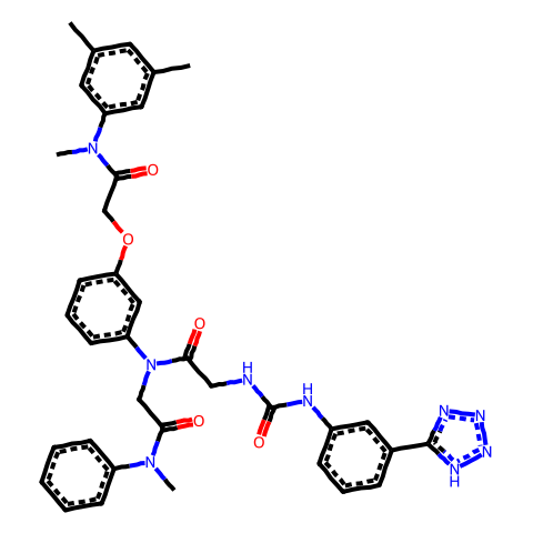 Cc1cc(C)cc(N(C)C(=O)COc2cccc(N(CC(=O)N(C)c3ccccc3)C(=O)CNC(=O)Nc3cccc(-c4nnn[nH]4)c3)c2)c1